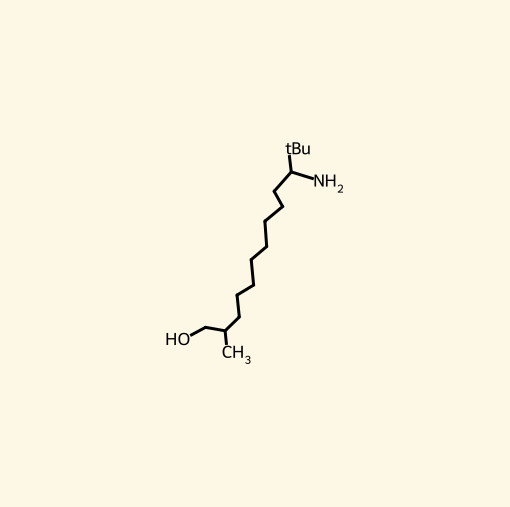 CC(CO)CCCCCCCCC(N)C(C)(C)C